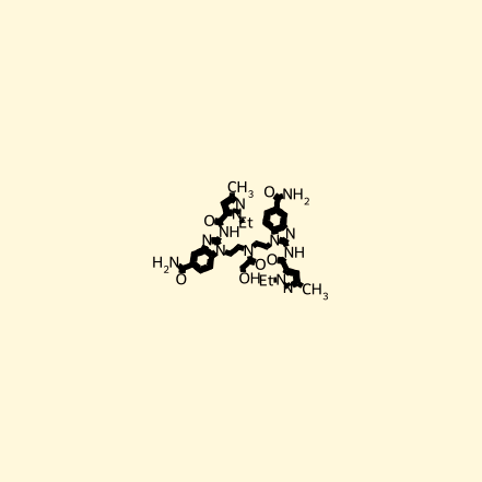 CCn1nc(C)cc1C(=O)Nc1nc2cc(C(N)=O)ccc2n1CCN(CCn1c(NC(=O)c2cc(C)nn2CC)nc2cc(C(N)=O)ccc21)C(=O)CO